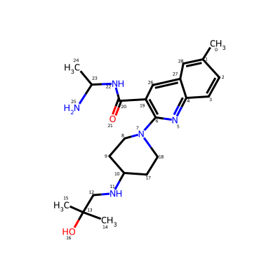 Cc1ccc2nc(N3CCC(NCC(C)(C)O)CC3)c(C(=O)NC(C)N)cc2c1